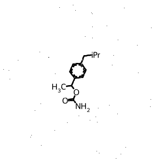 CC(C)Cc1ccc(C(C)OC(N)=O)cc1